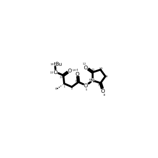 C[C@@H](CC(=O)ON1C(=O)CCC1=O)C(=O)OC(C)(C)C